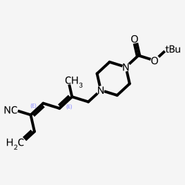 C=C/C(C#N)=C\C=C(/C)CN1CCN(C(=O)OC(C)(C)C)CC1